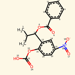 CC(C)C(OC(=O)c1ccccc1)c1cc([N+](=O)[O-])ccc1OC(=O)O